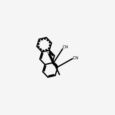 N#CC1=C(C#N)C(=O)C23C=c4ccccc4=CC2=CC=CC3=C1